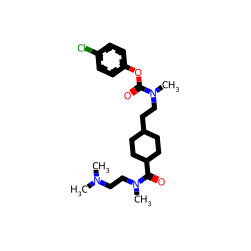 CN(C)CCN(C)C(=O)C1CCC(CCN(C)C(=O)Oc2ccc(Cl)cc2)CC1